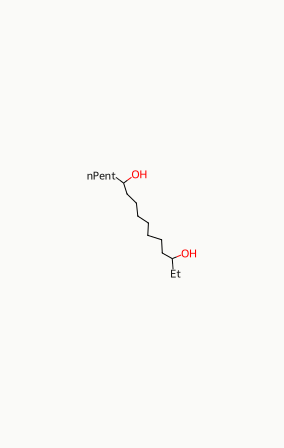 CCCCCC(O)CCCCCCCC(O)CC